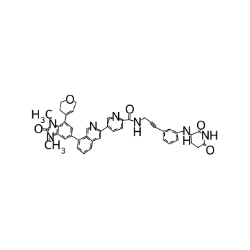 Cn1c(=O)n(C)c2c(C3=CCOCC3)cc(-c3cccc4cc(-c5ccc(C(=O)NCC#Cc6cccc(NC7CCC(=O)NC7=O)c6)nc5)ncc34)cc21